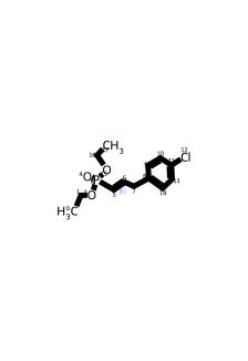 CCOP(=O)(/C=C/Cc1ccc(Cl)cc1)OCC